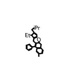 CCC1C(CC2=C(c3ccccc3)c3cc(C)ccc3CC2=O)=CC=C1CC(C)C